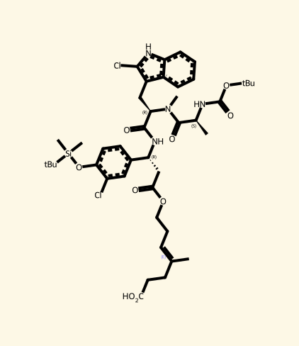 C/C(=C\CCOC(=O)C[C@@H](NC(=O)[C@@H](Cc1c(Cl)[nH]c2ccccc12)N(C)C(=O)[C@H](C)NC(=O)OC(C)(C)C)c1ccc(O[Si](C)(C)C(C)(C)C)c(Cl)c1)CCC(=O)O